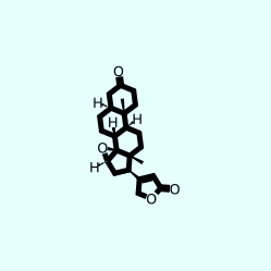 C[C@]12CCC(=O)C[C@@H]1CC[C@@H]1[C@@H]2CC[C@]2(C)[C@@H](C3=CC(=O)OC3)C[C@H]3O[C@]132